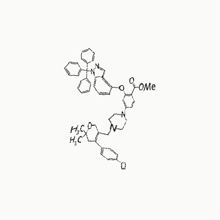 COC(=O)c1ccc(N2CCN(CC3=C(c4ccc(Cl)cc4)CC(C)(C)OC3)CC2)cc1Oc1cccc2c1cnn2C(c1ccccc1)(c1ccccc1)c1ccccc1